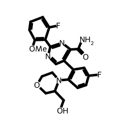 COc1cccc(F)c1-c1ncc(-c2cc(F)ccc2N2CCOCC2CO)c(C(N)=O)n1